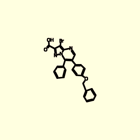 O=C(O)c1nn2c(-c3ccccc3)c(-c3ccc(OCc4ccccc4)cc3)cnc2c1Br